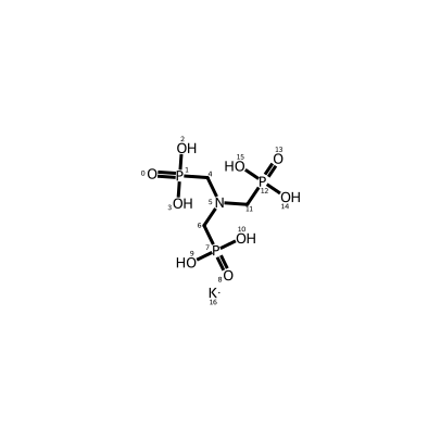 O=P(O)(O)CN(CP(=O)(O)O)CP(=O)(O)O.[K]